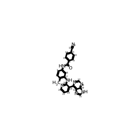 Cc1ccc(NC(=O)c2ccc(C#N)cc2)cc1Nc1ncccc1-c1ncnc2[nH]cnc12